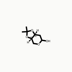 CC1(C)O[C@H]2COC(O)C[C@H]2O1